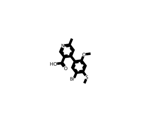 COc1cc(SC)c(Br)cc1-c1cc(C)ncc1C(=O)O